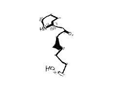 O=C(O)CCC=CC(=O)[C@@H]1CCCN1